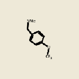 [CH2]NCc1ccc(OC(F)(F)F)cc1